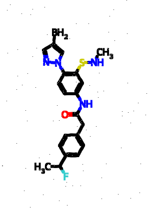 Bc1cnn(-c2ccc(NC(=O)Cc3ccc(C(C)F)cc3)cc2SNC)c1